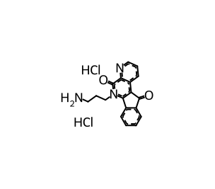 Cl.Cl.NCCCn1c2c(c3cccnc3c1=O)C(=O)c1ccccc1-2